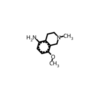 COc1ccc(N)c2c1CN(C)CC2